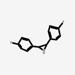 Fc1ccc(C2NC2c2ccc(F)cc2)cc1